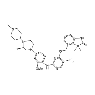 C=C1Nc2cccc(CNc3nc(Nc4ccc(N5CCN(C6CCN(C)CC6)[C@H](C)C5)cc4OC)ncc3C(F)(F)F)c2C1(C)C